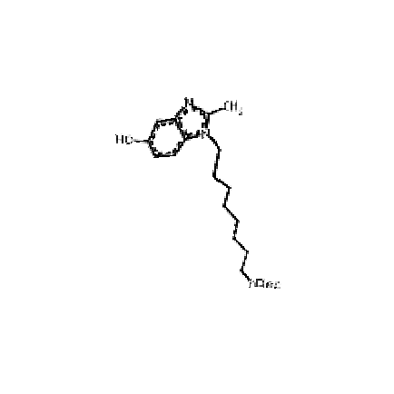 CCCCCCCCCCCCCCCCCCn1c(C)nc2cc(O)ccc21